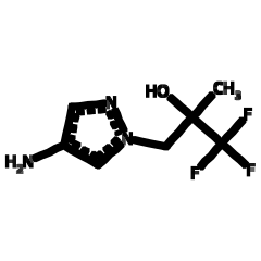 CC(O)(Cn1cc(N)cn1)C(F)(F)F